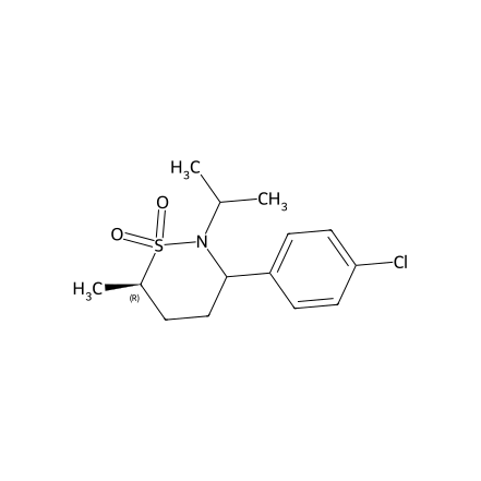 CC(C)N1C(c2ccc(Cl)cc2)CC[C@@H](C)S1(=O)=O